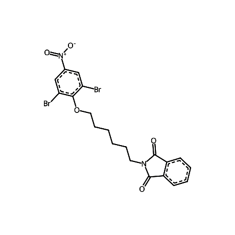 O=C1c2ccccc2C(=O)N1CCCCCCOc1c(Br)cc([N+](=O)[O-])cc1Br